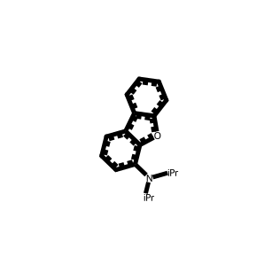 CC(C)N(c1cccc2c1oc1ccccc12)C(C)C